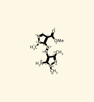 COC(=O)c1cnn(C)c1N=Nc1c(C)nn(C)c1N